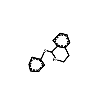 c1ccc(OC2NCCc3ccccc32)cc1